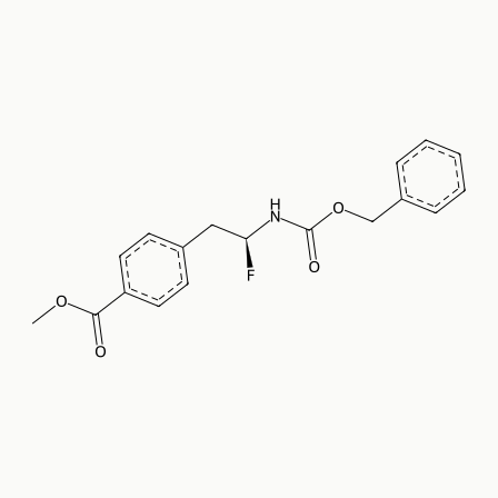 COC(=O)c1ccc(C[C@H](F)NC(=O)OCc2ccccc2)cc1